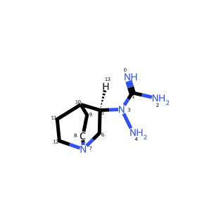 N=C(N)N(N)[C@H]1CN2CCC1CC2